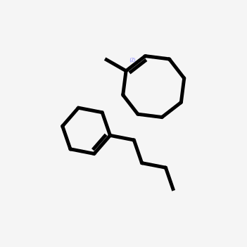 C/C1=C/CCCCCC1.CCCCC1=CCCCC1